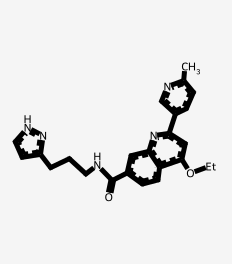 CCOc1cc(-c2ccc(C)nc2)nc2cc(C(=O)NCCCc3cc[nH]n3)ccc12